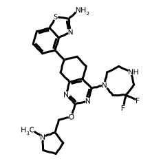 CN1CCCC1COc1nc2c(c(N3CCNCC(F)(F)C3)n1)CCC(c1cccc3sc(N)nc13)C2